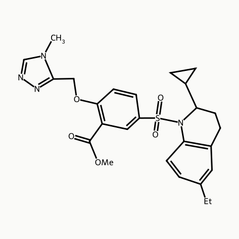 CCc1ccc2c(c1)CCC(C1CC1)N2S(=O)(=O)c1ccc(OCc2nncn2C)c(C(=O)OC)c1